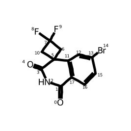 O=C1NC(=O)C2(CC(F)(F)C2)c2cc(Br)ccc21